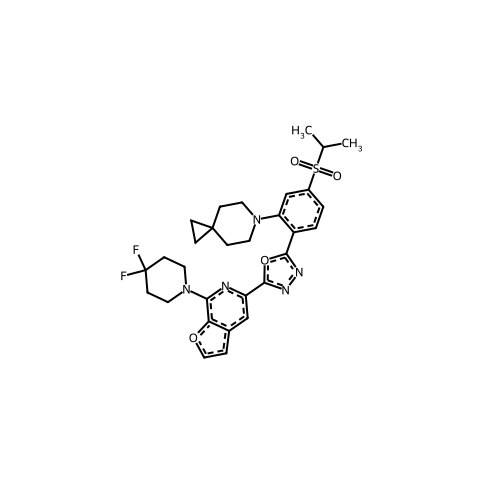 CC(C)S(=O)(=O)c1ccc(-c2nnc(-c3cc4ccoc4c(N4CCC(F)(F)CC4)n3)o2)c(N2CCC3(CC2)CC3)c1